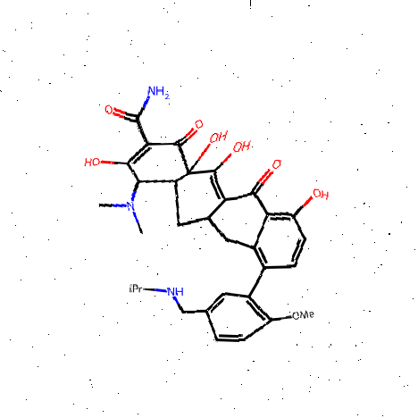 COc1ccc(CNC(C)C)cc1-c1ccc(O)c2c1CC1CC3C(N(C)C)C(O)=C(C(N)=O)C(=O)C3(O)C(O)=C1C2=O